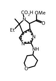 CCC1(C)c2cnc(NC3CCOCC3)nc2C(C(=O)OC)N1C(=O)O